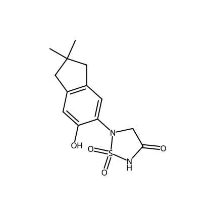 CC1(C)Cc2cc(O)c(N3CC(=O)NS3(=O)=O)cc2C1